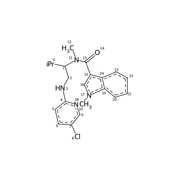 CC(C)C(CNc1ccc(Cl)cn1)N(C)C(=O)c1cn(C)c2ccccc12